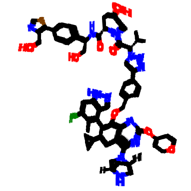 Cc1c(F)cc2[nH]ncc2c1-c1c(C2CC2)cc2c(N3C[C@@H]4C[C@H]3CN4)nc(OC3CCOCC3)nc2c1OCc1ccc(-c2cn([C@H](C(=O)N3C[C@H](O)C[C@H]3C(=O)N[C@@H](CO)c3ccc(-c4scnc4CO)cc3)C(C)C)nn2)cc1